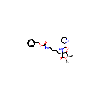 COC(=O)[C@](CCCCNC(=O)OCc1ccccc1)(NC(=O)[C@@H]1CCCN1)C(=O)OC(C)(C)C